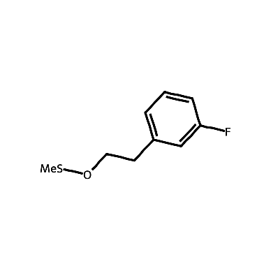 CSOCCc1cccc(F)c1